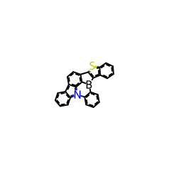 c1ccc2c(c1)B1c3c(sc4ccccc34)-c3ccc4c5ccccc5n-2c4c31